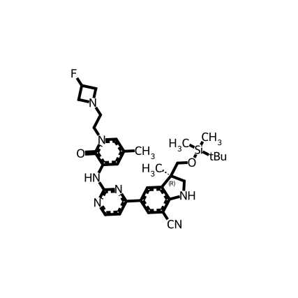 Cc1cc(Nc2nccc(-c3cc(C#N)c4c(c3)[C@@](C)(CO[Si](C)(C)C(C)(C)C)CN4)n2)c(=O)n(CCN2CC(F)C2)c1